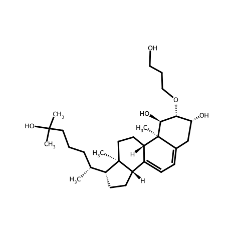 C[C@H](CCCC(C)(C)O)[C@H]1CC[C@H]2C3=CC=C4C[C@@H](O)[C@@H](OCCCO)[C@H](O)[C@]4(C)[C@H]3CC[C@]12C